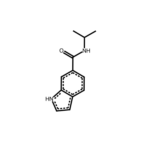 CC(C)NC(=O)c1ccc2cc[nH]c2c1